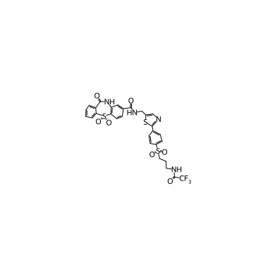 O=C(NCc1cnc(-c2ccc(S(=O)(=O)CCCNC(=O)C(F)(F)F)cc2)s1)c1ccc2c(c1)NC(=O)c1ccccc1S2(=O)=O